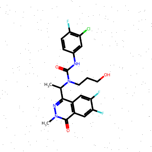 CC(c1nn(C)c(=O)c2cc(F)c(F)cc12)N(CCCO)C(=O)Nc1ccc(F)c(Cl)c1